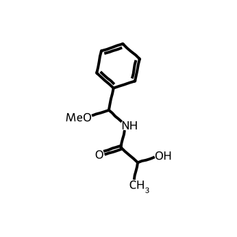 COC(NC(=O)C(C)O)c1ccccc1